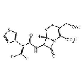 CC(=O)OCC1=C(C(=O)O)N2C(=O)C(NC(=O)C(=C(Cl)Cl)c3ccsc3)[C@@H]2SC1